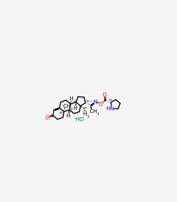 C/C(=N\OC(=O)[C@@H]1CCCN1)[C@H]1CC[C@H]2[C@@H]3CCC4=CC(=O)CC[C@]4(C)[C@H]3CC[C@]12C.Cl